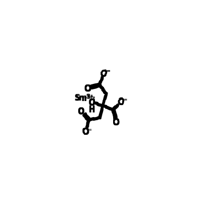 O=C([O-])CC(O)(CC(=O)[O-])C(=O)[O-].[Sm+3]